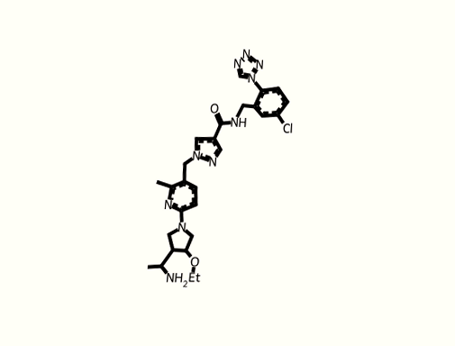 CCOC1CN(c2ccc(Cn3cc(C(=O)NCc4cc(Cl)ccc4-n4cnnn4)cn3)c(C)n2)CC1C(C)N